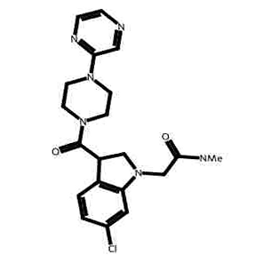 CNC(=O)CN1CC(C(=O)N2CCN(c3cnccn3)CC2)c2ccc(Cl)cc21